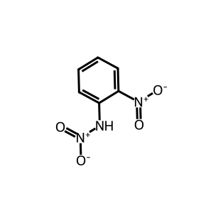 O=[N+]([O-])Nc1ccccc1[N+](=O)[O-]